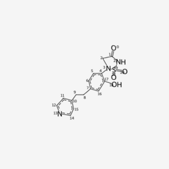 O=C1CN(c2ccc(CCc3ccncc3)cc2O)S(=O)(=O)N1